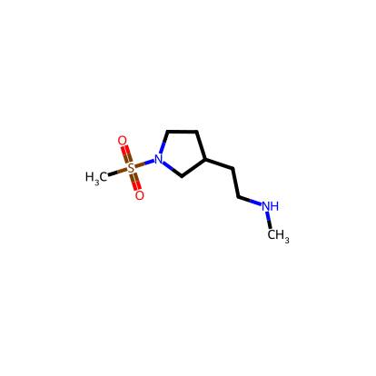 CNCCC1CCN(S(C)(=O)=O)C1